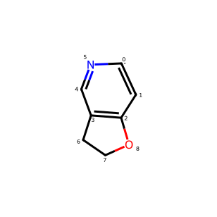 [c]1cc2c(cn1)CCO2